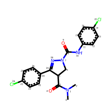 CN(C)C(=O)C1CN(C(=O)Nc2ccc(Cl)cc2)N=C1c1ccc(Cl)cc1